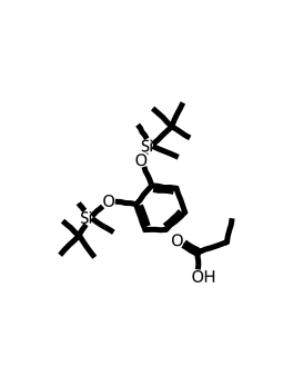 CC(C)(C)[Si](C)(C)Oc1ccccc1O[Si](C)(C)C(C)(C)C.CCC(=O)O